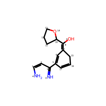 N=C(/C=C\N)C1=C/C(=C(/O)C2CCCO2)CC=C1